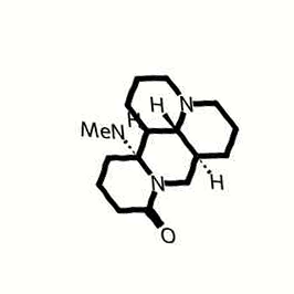 CN[C@@]12CCCC(=O)N1C[C@@H]1CCCN3CCC[C@@H]2[C@@H]13